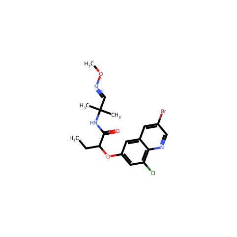 CCC(Oc1cc(Cl)c2ncc(Br)cc2c1)C(=O)NC(C)(C)/C=N/OC